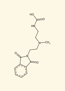 CN(CCNC(=O)O)CCN1C(=O)c2ccccc2C1=O